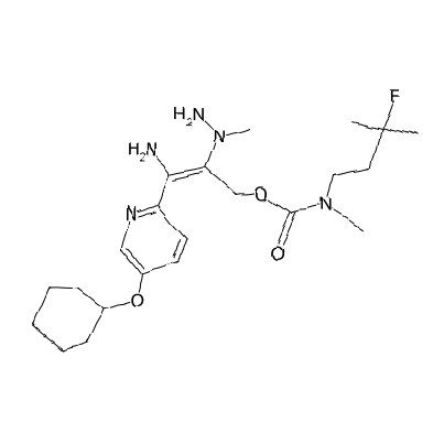 CN(CCC(C)(C)F)C(=O)OC/C(=C(/N)c1ccc(OC2CCCCC2)cn1)N(C)N